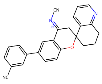 N#C/N=C1\CC2(CCCc3ncccc32)Oc2ccc(-c3cccc(C#N)c3)cc21